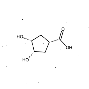 O=C(O)[C@H]1C[C@@H](O)[C@@H](O)C1